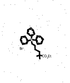 CCOC(=O)C(C)(C)CCCC[P+](c1ccccc1)(c1ccccc1)c1ccccc1.[Br-]